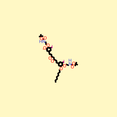 CCCCCCCCOc1cc(C=CC(=O)CC(=O)C=Cc2cc(I)c(OCCNC(=O)OC(C)(C)C)c(OC)c2)cc(I)c1OCCNC(=O)OC(C)(C)C